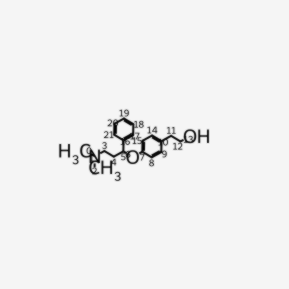 CN(C)CCC(Oc1ccc(CCO)cc1)c1ccccc1